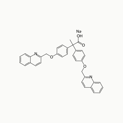 CC(C(=O)O)(c1ccc(OCc2ccc3ccccc3n2)cc1)c1ccc(OCc2ccc3ccccc3n2)cc1.[Na]